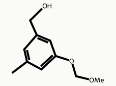 COCOc1cc(C)cc(CO)c1